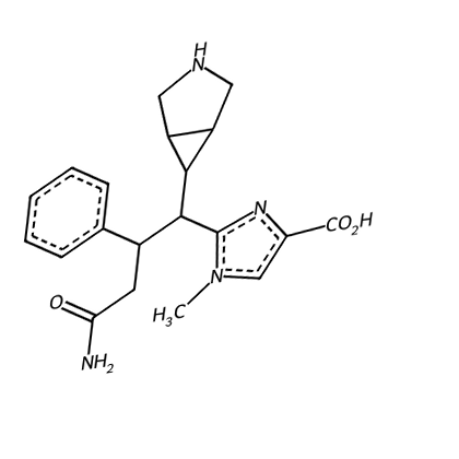 Cn1cc(C(=O)O)nc1C(C(CC(N)=O)c1ccccc1)C1C2CNCC21